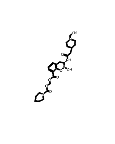 N#CCN1CCC(CC(=O)N[C@H]2Cc3cccc(C(=O)OCOC(=O)N4CCCCC4)c3OB2O)CC1